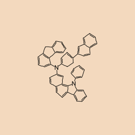 C1=C(c2ccc3ccccc3c2)CCC(N(c2ccc3ccc4c5ccccc5n(-c5ccccc5)c4c3c2)c2cccc3c2-c2ccccc2C3)=C1